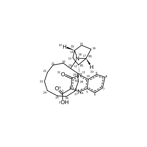 O=C(O)c1nc2ccccc2n([C@@H]2C[C@@H]3CC[C@H]2N3C2CCCCCCCCCC2)c1=O